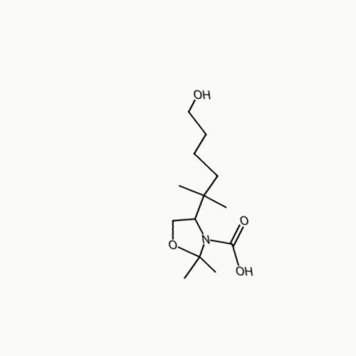 CC(C)(CCCCO)C1COC(C)(C)N1C(=O)O